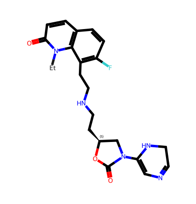 CCn1c(=O)ccc2ccc(F)c(CCNCC[C@H]3CN(C4=CN=CCN4)C(=O)O3)c21